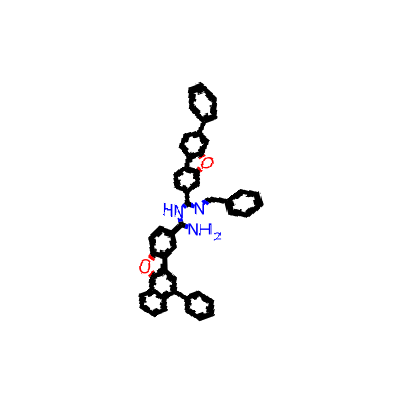 NC(NC(/N=C/c1ccccc1)c1ccc2c(c1)oc1cc(-c3ccccc3)ccc12)c1ccc2oc3c4ccccc4c(-c4ccccc4)cc3c2c1